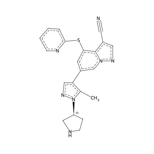 Cc1c(-c2cc(Sc3ccccn3)c3c(C#N)cnn3c2)cnn1[C@H]1CCNC1